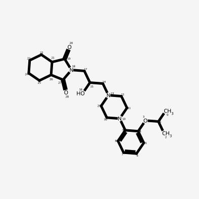 CC(C)Oc1ccccc1N1CCN(CC(O)CN2C(=O)C3CCCCC3C2=O)CC1